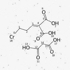 CCCC=C(C(=O)O)C(=O)O.O=C(O)CC(=O)O.[Cr]